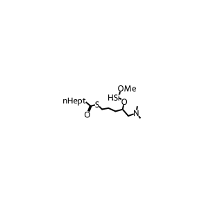 CCCCCCCC(=O)SCCCC(CN(C)C)O[SiH](C)OC